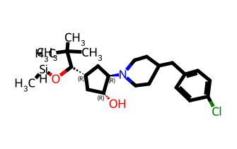 C[SiH](C)OC([C@H]1C[C@@H](O)[C@H](N2CCC(Cc3ccc(Cl)cc3)CC2)C1)C(C)(C)C